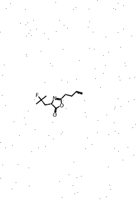 C=CCCC1=NC(CC(C)(C)F)C(=O)O1